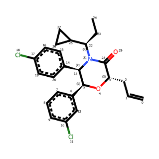 C=CC[C@@H]1O[C@@H](c2cccc(Cl)c2)[C@@H](c2ccc(Cl)cc2)N([C@H](CC)C2CC2)C1=O